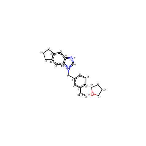 Cc1cc(Cn2cnc3cc4c(cc32)CCC4)ccc1[C@@H]1CCCO1